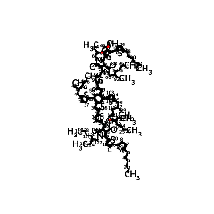 CCCCCCc1ccc(-c2ccc(C3=C4C(=O)N(CC(CC)CCCC)C(c5ccc(-c6cc7c(-c8ccc(CC(CC)CCCC)s8)c8sc(-c9ccc(C%10=C%11C(=O)N(CC(CC)CCCC)C(c%12ccc(-c%13ccc(CCCCCC)s%13)s%12)=C%11C(=O)N%10CC(CC)CCCC)s9)cc8c(-c8ccc(CC(CC)CCCC)s8)c7s6)s5)=C4C(=O)N3CC(CC)CCCC)s2)s1